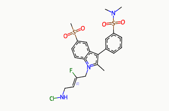 Cc1c(-c2cccc(S(=O)(=O)N(C)C)c2)c2cc(S(C)(=O)=O)ccc2n1C/C(F)=C/CNCl